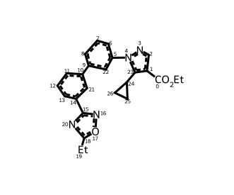 CCOC(=O)c1cnn(-c2cccc(-c3cccc(-c4noc(CC)n4)c3)c2)c1C1CC1